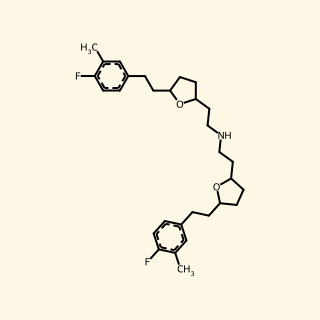 Cc1cc(CCC2CCC(CCNCCC3CCC(CCc4ccc(F)c(C)c4)O3)O2)ccc1F